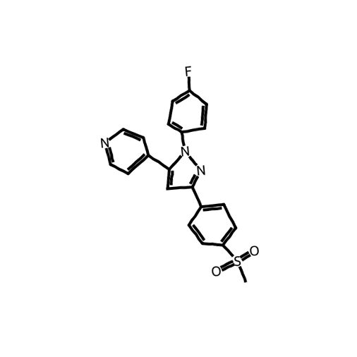 CS(=O)(=O)c1ccc(-c2cc(-c3ccncc3)n(-c3ccc(F)cc3)n2)cc1